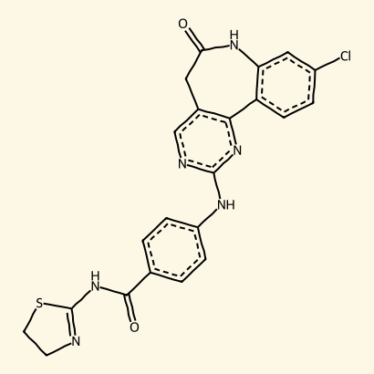 O=C1Cc2cnc(Nc3ccc(C(=O)NC4=NCCS4)cc3)nc2-c2ccc(Cl)cc2N1